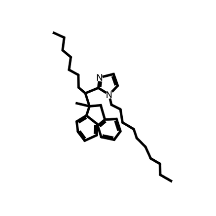 CCCCCCCCCCn1ccnc1C(CCCCCCC)C(C)(Cc1ccccc1)c1ccccc1